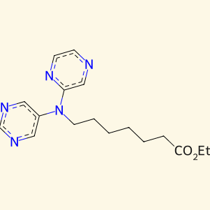 CCOC(=O)CCCCCCN(c1cncnc1)c1cnccn1